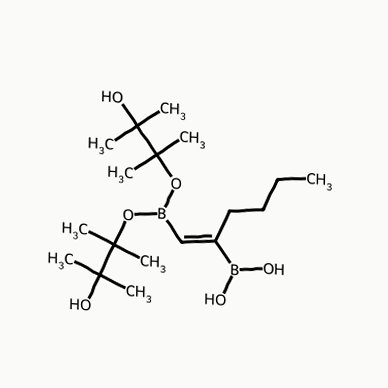 CCCCC(=CB(OC(C)(C)C(C)(C)O)OC(C)(C)C(C)(C)O)B(O)O